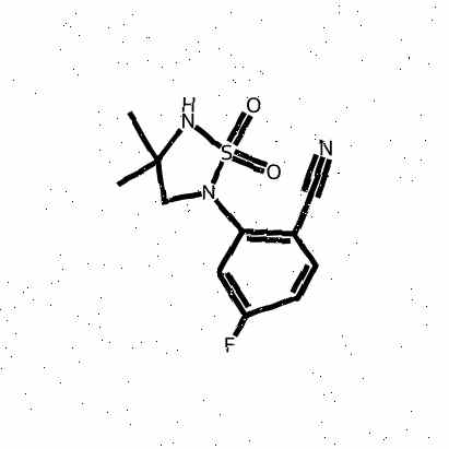 CC1(C)CN(c2cc(F)ccc2C#N)S(=O)(=O)N1